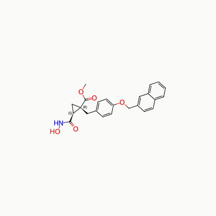 COC(=O)[C@@]1(Cc2ccc(OCc3ccc4ccccc4c3)cc2)C[C@@H]1C(=O)NO